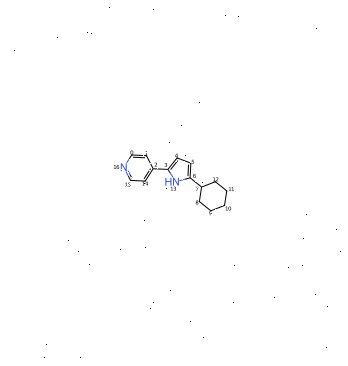 c1cc(-c2ccc(C3CCCCC3)[nH]2)ccn1